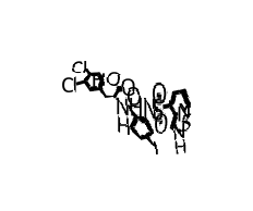 O=C(N[C@@H](Cc1ccc(Cl)c(Cl)c1)C(=O)O)c1ccc(I)cc1NS(=O)(=O)C1=CC=CN2SNC=C12